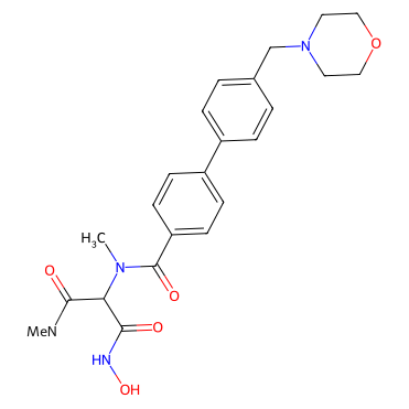 CNC(=O)C(C(=O)NO)N(C)C(=O)c1ccc(-c2ccc(CN3CCOCC3)cc2)cc1